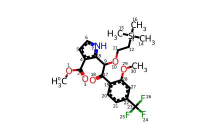 COC(=O)c1cc[nH]c1C(OCC[Si](C)(C)C)C(=O)c1ccc(C(F)(F)F)cc1OC